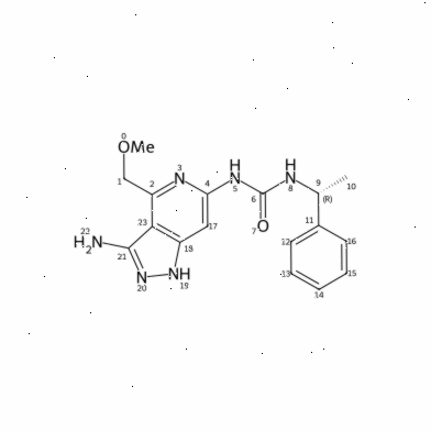 COCc1nc(NC(=O)N[C@H](C)c2ccccc2)cc2[nH]nc(N)c12